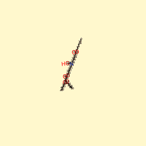 CCCCCCCCCOC(=O)CCCCCCCN(CCO)CCCCCCCCOC(=O)CCC(OCCCCCC)OCCCCCC